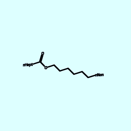 CCCCCCCCCCCCCCCOC(=O)CCCCCCC